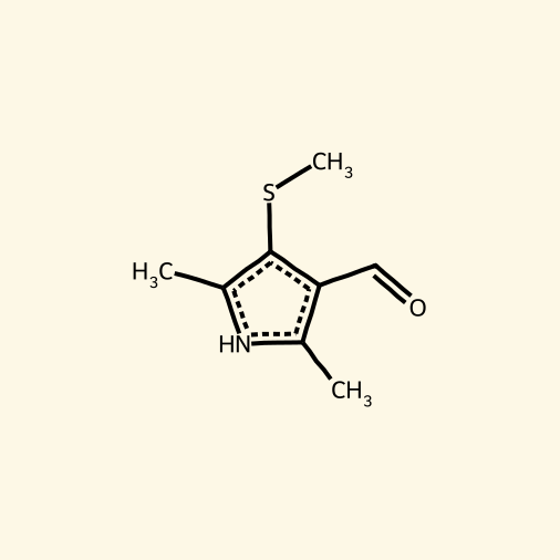 CSc1c(C)[nH]c(C)c1C=O